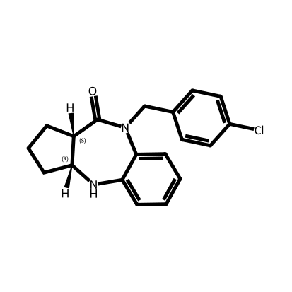 O=C1[C@H]2CCC[C@H]2Nc2ccccc2N1Cc1ccc(Cl)cc1